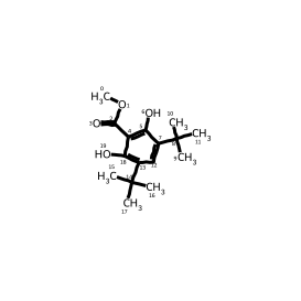 COC(=O)c1c(O)c(C(C)(C)C)cc(C(C)(C)C)c1O